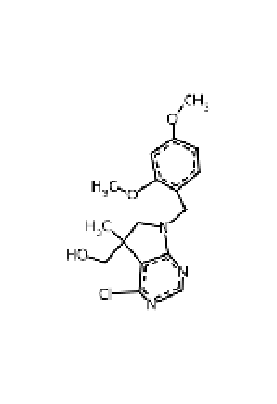 COc1ccc(CN2CC(C)(CO)c3c(Cl)ncnc32)c(OC)c1